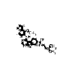 COc1c(Nc2ncnc3sc4c(c23)CC[C@H](C(=O)NCCN(C)C)C4)ccn2nccc12